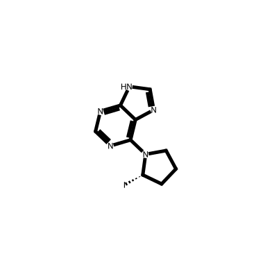 I[C@H]1CCCN1c1ncnc2[nH]cnc12